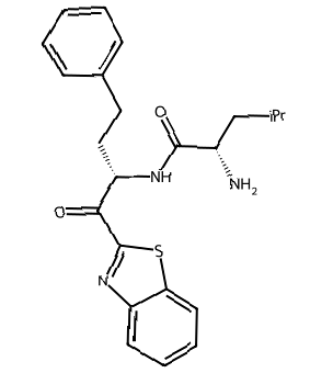 CC(C)C[C@H](N)C(=O)N[C@@H](CCc1ccccc1)C(=O)c1nc2ccccc2s1